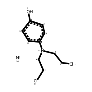 Oc1ccc(N(CCCl)CCCl)cc1.[N]